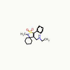 CCNCC1=C(c2ccccc2)S(=O)(=O)N(C)C12CCCCC2